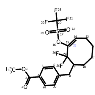 COC(=O)c1ccc(CC2CCCC/C=C(/OS(=O)(=O)C(F)(F)F)C2(F)F)cc1